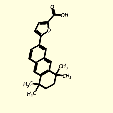 CC1(C)CCC(C)(C)c2cc3cc(-c4ccc(C(=O)O)o4)ccc3cc21